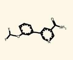 NC(=O)c1cncc(-c2cccc(OC(F)F)c2)c1